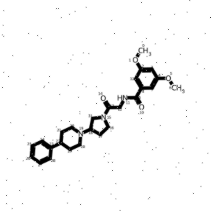 COc1cc(OC)cc(C(=O)NCC(=O)N2CCC(N3CCC(c4ccccc4)CC3)C2)c1